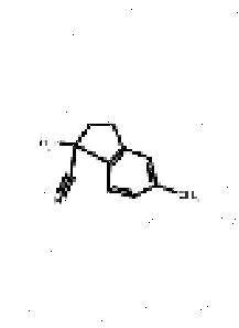 Cc1ccc2c(c1)CCC2(C)C#N